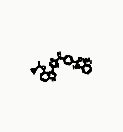 CC(Oc1cccc2ncc(-c3csc(Nc4ccc(C(=O)Nc5ccccc5N)cc4)n3)n12)C1CC1